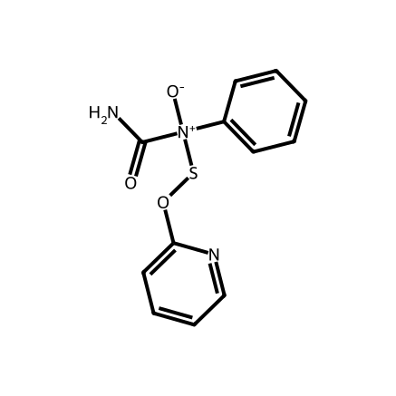 NC(=O)[N+]([O-])(SOc1ccccn1)c1ccccc1